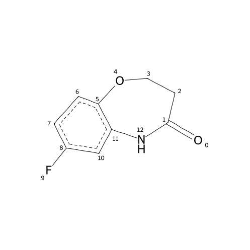 O=C1CCOc2ccc(F)cc2N1